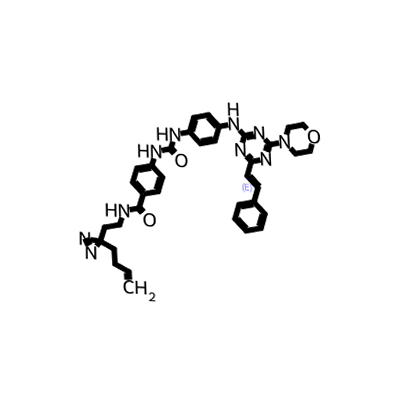 C=CCCC1(CCNC(=O)c2ccc(NC(=O)Nc3ccc(Nc4nc(/C=C/c5ccccc5)nc(N5CCOCC5)n4)cc3)cc2)N=N1